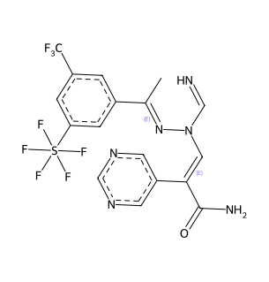 C/C(=N\N(C=N)/C=C(/C(N)=O)c1cncnc1)c1cc(C(F)(F)F)cc(S(F)(F)(F)(F)F)c1